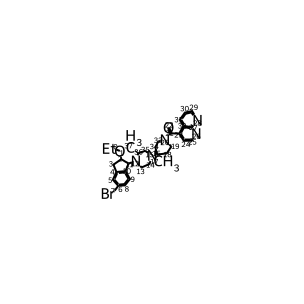 CCO[C@@H]1Cc2cc(Br)ccc2C1N1CCN(C2(C)CCN(C(=O)c3ccnc4ncccc34)CC2)C[C@@H]1C